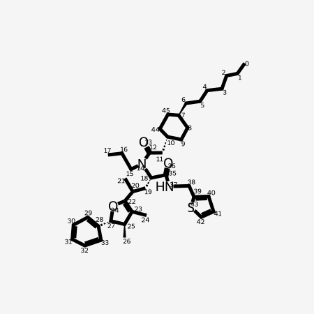 CCCCCCC[C@H]1CC[C@H](CC(=O)N(CCC)[C@@H](CC(C)C2=C(C)[C@@H](C)[C@H](c3ccccc3)O2)C(=O)NCc2cccs2)CC1